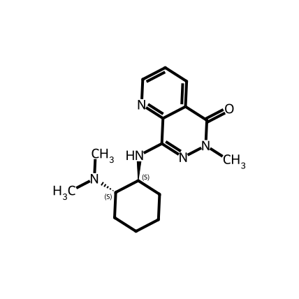 CN(C)[C@H]1CCCC[C@@H]1Nc1nn(C)c(=O)c2cccnc12